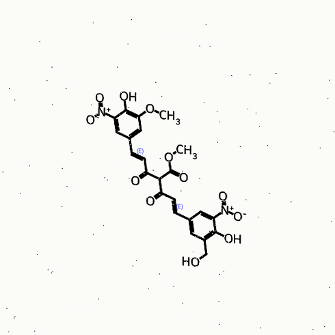 COC(=O)C(C(=O)/C=C/c1cc(CO)c(O)c([N+](=O)[O-])c1)C(=O)/C=C/c1cc(OC)c(O)c([N+](=O)[O-])c1